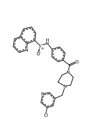 O=C(c1ccc(N[S@@+]([O-])c2cccc3cccnc23)cc1)N1CCN(Cc2cncc(Cl)c2)CC1